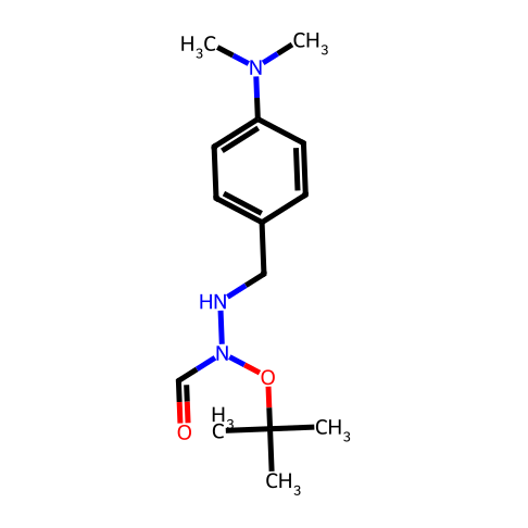 CN(C)c1ccc(CNN(C=O)OC(C)(C)C)cc1